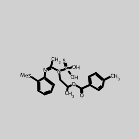 CSc1ccccc1N=C(C)N(CC(C)OC(=O)c1ccc(C)cc1)P(O)(O)=S